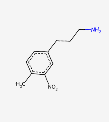 [CH2]c1ccc(CCCN)cc1[N+](=O)[O-]